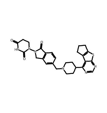 O=C1CCN(N2Cc3cc(CN4CCC(c5ncnc6sc7c(c56)CCC7)CC4)ccc3C2=O)C(=O)N1